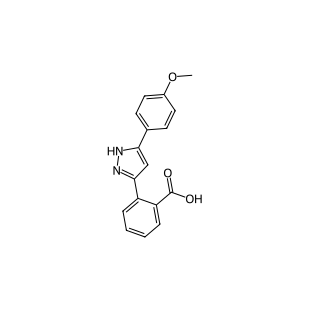 COc1ccc(-c2cc(-c3ccccc3C(=O)O)n[nH]2)cc1